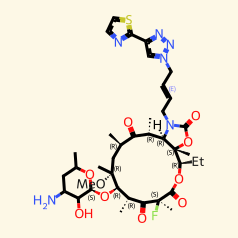 CC[C@H]1OC(=O)[C@@](C)(F)C(=O)[C@H](C)[C@@H](O[C@@H]2OC(C)CC(N)C2O)[C@](C)(OC)C[C@@H](C)C(=O)[C@H](C)[C@H]2N(C/C=C/Cn3cc(-c4nccs4)nn3)C(=O)O[C@]12C